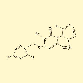 O=C(O)c1cc(OCc2ccc(F)cc2F)c(Br)c(=O)n1-c1c(F)cccc1F